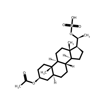 CC(=O)O[C@H]1CC[C@@]2(C)[C@@H](CC[C@@H]3[C@@H]2CC[C@]2(C)[C@@H]([C@H](C)OS(=O)(=O)O)CC[C@@H]32)C1